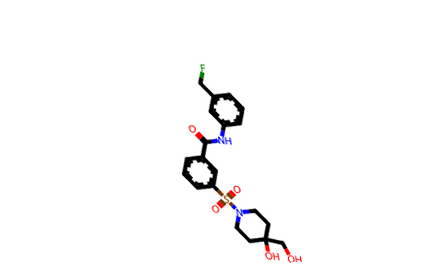 O=C(Nc1cccc(CF)c1)c1cccc(S(=O)(=O)N2CCC(O)(CO)CC2)c1